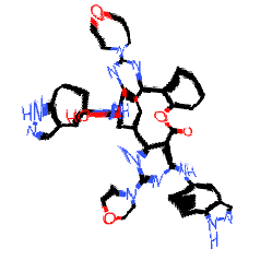 O=C(Oc1ccccc1-c1cc(Nc2ccc3[nH]ncc3c2)nc(N2CCOCC2)n1)c1c(Nc2ccc3[nH]ncc3c2)nc(N2CCOCC2)nc1-c1cccc(O)c1